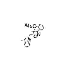 COc1ccccc1C1=NOC(Cc2cc(C)c3ccccc3n2)C1(C)C